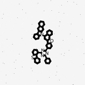 c1ccc(-c2nc(-c3ccc4oc5c6ccccc6c(-n6c7ccccc7c7cc8ccccc8cc76)cc5c4c3)nc(-c3cccc4sc5ccccc5c34)n2)cc1